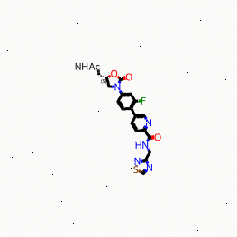 CC(=O)NC[C@H]1CN(c2ccc(-c3ccc(C(=O)NCc4ncsn4)nc3)c(F)c2)C(=O)O1